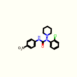 O=C(Nc1ccc([N+](=O)[O-])cc1)N(c1ccccc1Cl)N1CCCCC1